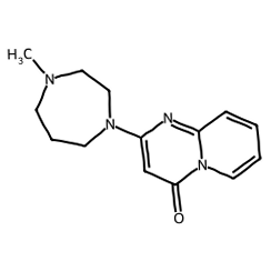 CN1CCCN(c2cc(=O)n3ccccc3n2)CC1